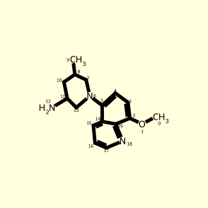 COc1ccc(N2CC(C)CC(N)C2)c2cccnc12